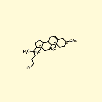 CC(=O)O[C@H]1CC[C@@]2(C)C(=CCC3C4CCC(C(C)CCCC(C)C)[C@@]4(C)CCC32)C1